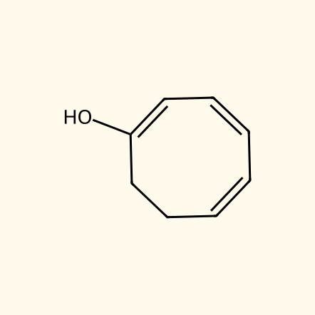 O/C1=C/C=C\C=C/CC1